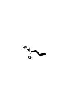 C=CC[SH](S)S